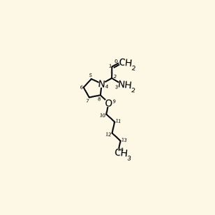 C=CC(N)N1CCCC1OCCCCC